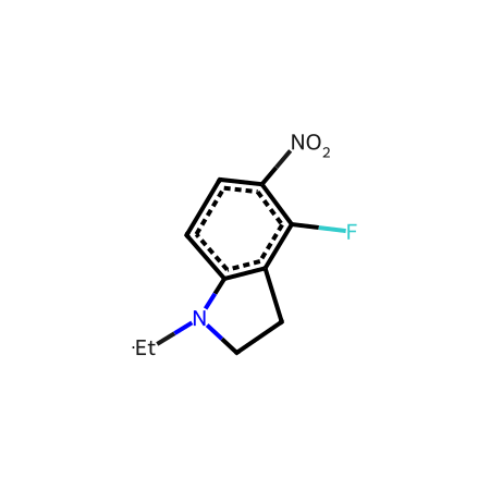 C[CH]N1CCc2c1ccc([N+](=O)[O-])c2F